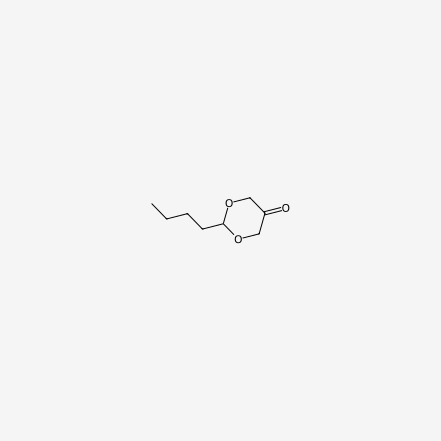 CCCCC1OCC(=O)CO1